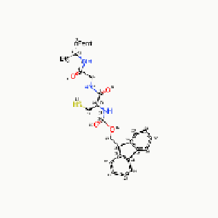 CCCCC[C@@H](CC)NC(=O)CNC(=O)[C@H](CS)NC(=O)OCC1c2ccccc2-c2ccccc21